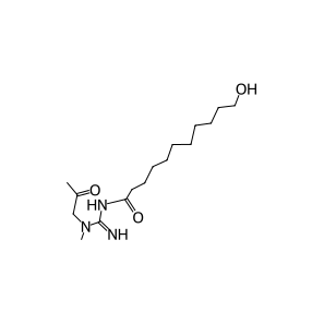 CC(=O)CN(C)C(=N)NC(=O)CCCCCCCCCCO